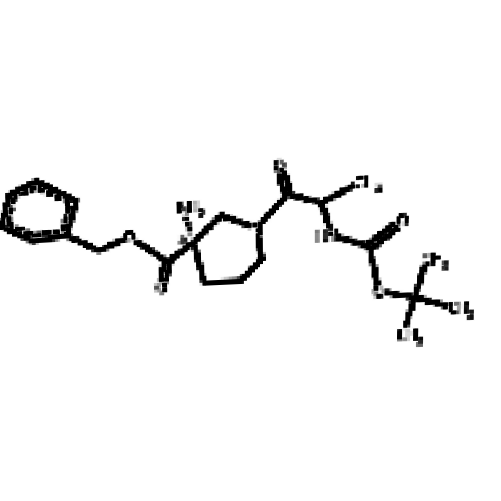 CC(NC(=O)OC(C)(C)C)C(=O)N1CCC[C@@](N)(C(=O)OCc2ccccc2)C1